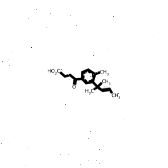 C/C=C/C(C)(C)c1cc(C(=O)CCC(=O)O)ccc1C